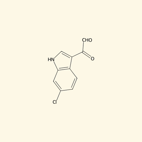 O=CC(=O)c1c[nH]c2cc(Cl)ccc12